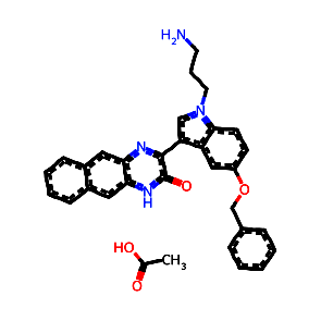 CC(=O)O.NCCCn1cc(-c2nc3cc4ccccc4cc3[nH]c2=O)c2cc(OCc3ccccc3)ccc21